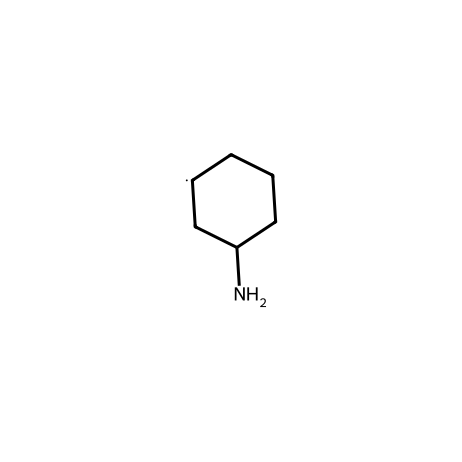 NC1C[CH]CCC1